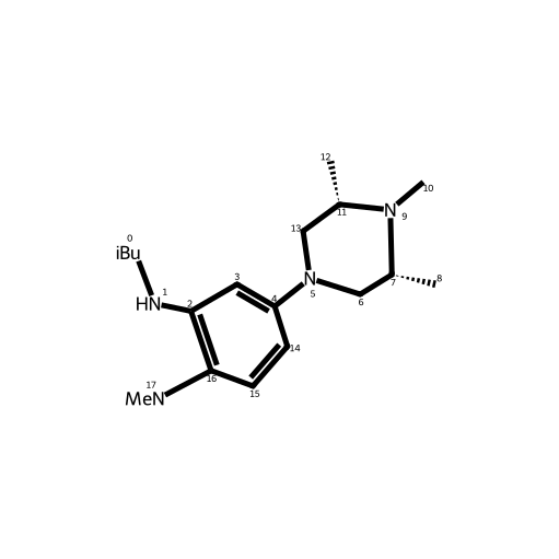 CCC(C)Nc1cc(N2C[C@@H](C)N(C)[C@@H](C)C2)ccc1NC